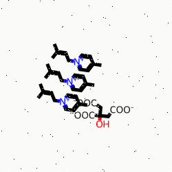 CC(C)=CC[n+]1ccc(C)cc1.CC(C)=CC[n+]1ccc(C)cc1.CC(C)=CC[n+]1ccc(C)cc1.O=C([O-])CC(O)(CC(=O)[O-])C(=O)[O-]